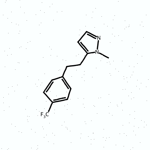 Cn1nccc1CCc1ccc(C(F)(F)F)cc1